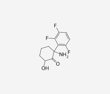 NC1(c2c(F)ccc(F)c2F)CCCC(O)C1=O